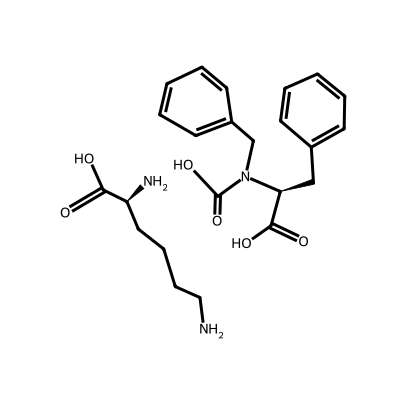 NCCCC[C@H](N)C(=O)O.O=C(O)[C@H](Cc1ccccc1)N(Cc1ccccc1)C(=O)O